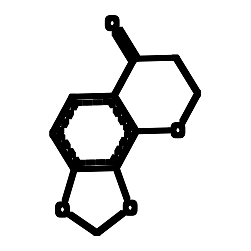 O=C1CCOc2c1ccc1c2OCO1